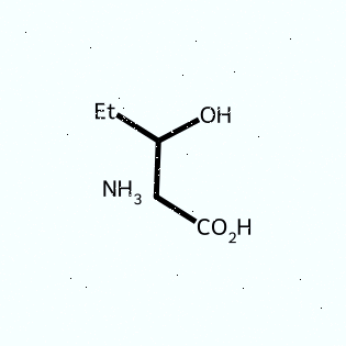 CCC(O)CC(=O)O.N